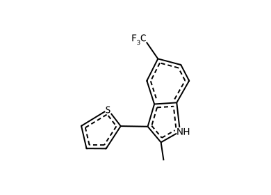 Cc1[nH]c2ccc(C(F)(F)F)cc2c1-c1cccs1